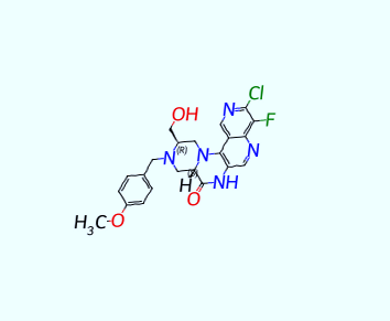 COc1ccc(CN2C[C@H]3C(=O)Nc4cnc5c(F)c(Cl)ncc5c4N3C[C@@H]2CO)cc1